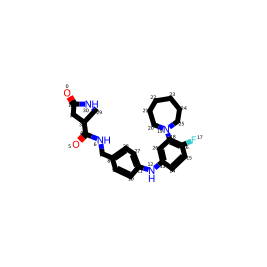 O=C1CC(C(=O)NCc2ccc(Nc3ccc(F)c(N4CCCCCC4)c3)cc2)CN1